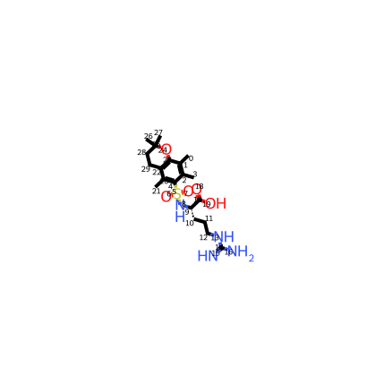 Cc1c(C)c(S(=O)(=O)N[C@@H](CCCNC(=N)N)C(=O)O)c(C)c2c1OC(C)(C)CC2